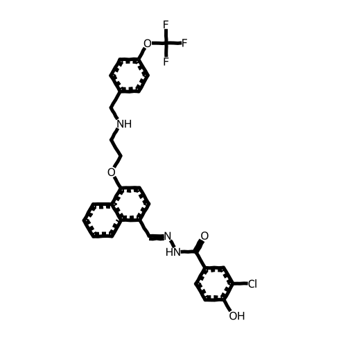 O=C(NN=Cc1ccc(OCCNCc2ccc(OC(F)(F)F)cc2)c2ccccc12)c1ccc(O)c(Cl)c1